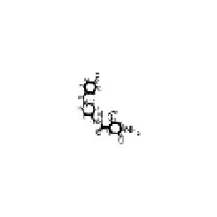 COc1cc(N)c(Cl)cc1C(=O)NCC1CCN(Cc2ccc(F)cc2)CC1